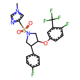 Cn1cnc(S(=O)(=O)N2CC(Oc3ccc(F)c(C(F)(F)F)c3)C(c3ccc(F)cc3)C2)c1